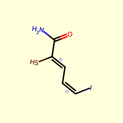 NC(=O)/C(S)=C/C=C\I